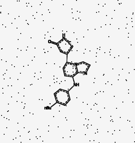 CCCCc1ccc(Nc2ccc(-c3cc[nH]c(=O)c3)n3ccnc23)cc1